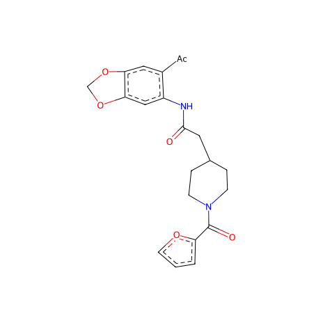 CC(=O)c1cc2c(cc1NC(=O)CC1CCN(C(=O)c3ccco3)CC1)OCO2